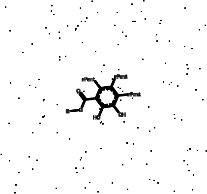 CCCCCc1c(O)c(O)c(C(=O)OBr)c(CCCCC)c1CCCCC